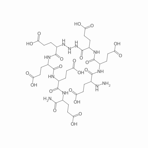 NNC(CCC(=O)O)C(=O)NC(CCC(=O)O)C(=O)NC(CCC(=O)O)C(=O)NNNC(CCC(=O)O)C(=O)NC(CCC(=O)O)C(=O)NC(CCC(=O)O)C(=O)NC(CCC(=O)O)C(N)=O